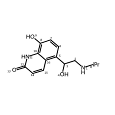 CC(C)NCC(O)c1ccc(O)c2[nH]c(=O)ccc12